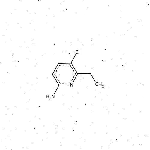 CCc1nc(N)ccc1Cl